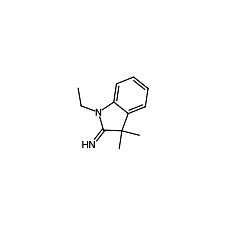 CCN1C(=N)C(C)(C)c2ccccc21